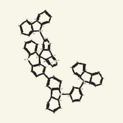 C1=CC2c3cc(-c4ccc5c(c4)C4(c6ccccc6S5)c5cccnc5-c5ncc(-n6c7ccccc7c7ccccc76)cc54)ccc3N(c3cccc(-n4c5ccccc5c5ccccc54)c3)C2C=C1